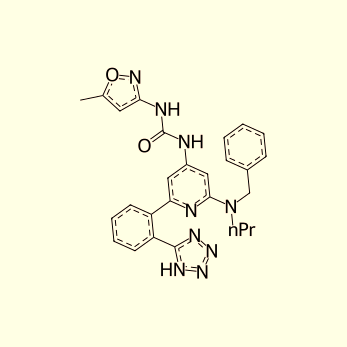 CCCN(Cc1ccccc1)c1cc(NC(=O)Nc2cc(C)on2)cc(-c2ccccc2-c2nnn[nH]2)n1